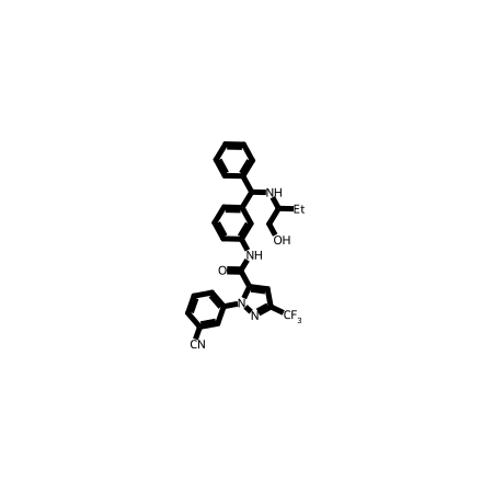 CCC(CO)NC(c1ccccc1)c1cccc(NC(=O)c2cc(C(F)(F)F)nn2-c2cccc(C#N)c2)c1